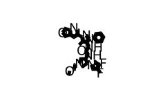 COCCN1CC(NC(=O)Nc2c(C)c(-c3cnc4c(c3)COC4)nn2-c2ccccc2)C(n2cc(F)c(F)c2)C1